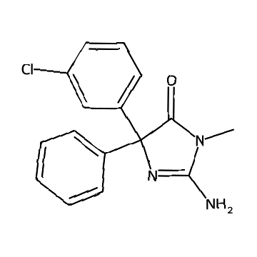 CN1C(=O)C(c2ccccc2)(c2cccc(Cl)c2)N=C1N